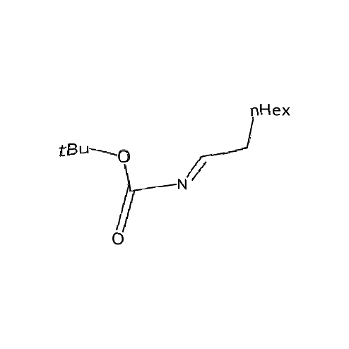 CCCCCCCC=NC(=O)OC(C)(C)C